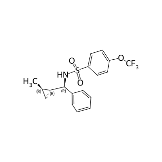 C[C@@H]1C[C@H]1[C@@H](NS(=O)(=O)c1ccc(OC(F)(F)F)cc1)c1ccccc1